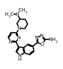 CN(C)C1CCCN(c2ccnc(-c3c[nH]c4ccc(-c5nnc(N)o5)cc34)n2)C1